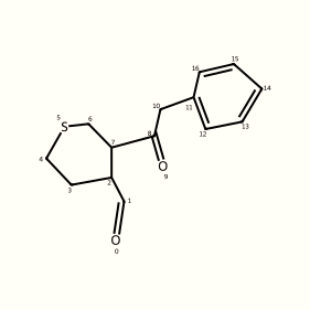 O=CC1CCSCC1C(=O)Cc1ccccc1